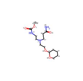 CC(C)(C)OC(=O)NCCN(CCOC1CCCCO1)CCC(N)=O